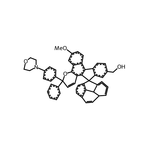 COc1ccc2c3c(c4c(c2c1)OC(c1ccccc1)(c1ccc(N2CCOCC2)cc1)C=C4)C1(C2=C=C=CC4C=Cc5cccc1c5C24)c1cc(CO)ccc1-3